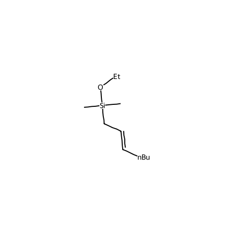 CCCCC=CC[Si](C)(C)OCC